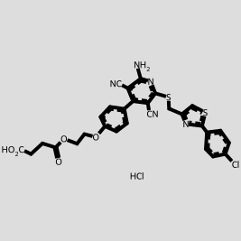 Cl.N#Cc1c(N)nc(SCc2csc(-c3ccc(Cl)cc3)n2)c(C#N)c1-c1ccc(OCCOC(=O)CCC(=O)O)cc1